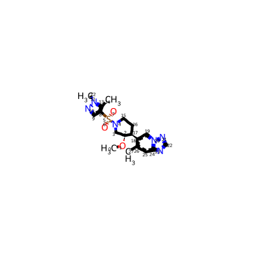 CO[C@@H]1CN(S(=O)(=O)c2cnn(C)c2C)CC[C@H]1c1cn2ncnc2cc1C